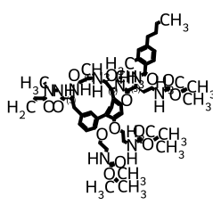 C=CC(=O)N(C)NC(=O)[C@@H]1Cc2ccc(OCCNC(=O)OC(C)(C)C)c(c2)-c2cc(ccc2OCCNC(=O)OC(C)(C)C)[C@H](N(C)C(=O)[C@H](CCNC(=O)OC(C)(C)C)NC(=O)c2ccc(CCCC)cc2C)C(=O)N[C@@H](C)C(=O)N1